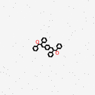 O=C(/C(=C/c1ccc(/C=C(/C(=O)c2ccccc2)c2ccccc2)cc1)c1ccccc1)c1ccccc1